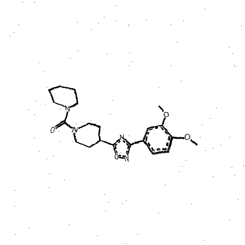 COc1ccc(-c2noc(C3CCN(C(=O)N4CCCCC4)CC3)n2)cc1OC